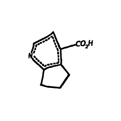 O=C(O)c1ccnc2c1CCC2